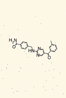 Cc1cccc(C(=O)c2cnc(NCc3ccc(C(N)=O)cc3)nc2)c1